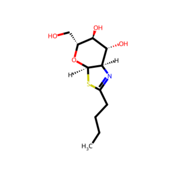 CCCCC1=N[C@@H]2[C@@H](O)[C@H](O)[C@@H](CO)O[C@@H]2S1